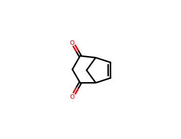 O=C1CC(=O)C2C=CC1C2